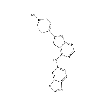 CCN1CC=C(c2cc3c(Nc4ccc5ncsc5c4)ncnc3s2)CC1